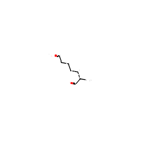 CC(C=O)CCCCC=O